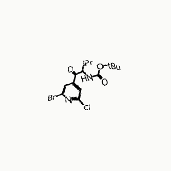 CC(C)C(NC(=O)OC(C)(C)C)C(=O)c1cc(Cl)nc(Br)c1